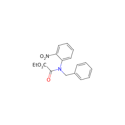 CCOC(=O)C(=O)N(Cc1ccccc1)c1ccccc1[N+](=O)[O-]